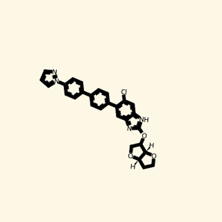 Clc1cc2[nH]c(OC3CO[C@@H]4CCO[C@H]34)nc2cc1-c1ccc(-c2ccc(-n3cccn3)cc2)cc1